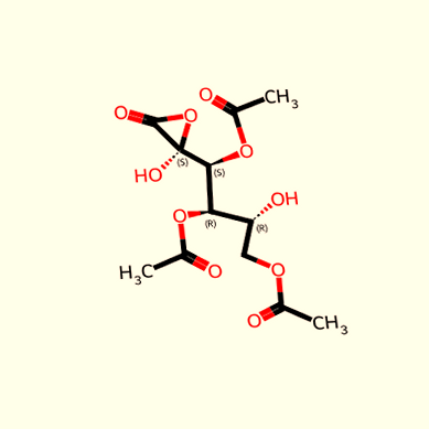 CC(=O)OC[C@@H](O)[C@@H](OC(C)=O)[C@H](OC(C)=O)[C@]1(O)OC1=O